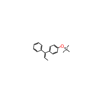 CC=C(c1ccccc1)c1ccc(O[Si](C)(C)C)cc1